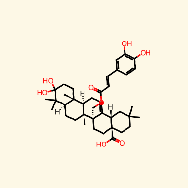 CC1(C)CC[C@]2(C(=O)O)CC[C@]3(COC(=O)C=Cc4ccc(O)c(O)c4)C(=CC[C@@H]4[C@@]5(C)CCC(O)(O)C(C)(C)[C@@H]5CC[C@]43C)[C@@H]2C1